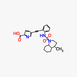 CC1CCN(S(=O)(=O)Nc2ccccc2C#Cc2ccc(C(=O)O)nc2)C2CCCCC12